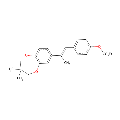 CCOC(=O)Oc1ccc(C=C(C)c2ccc3c(c2)OCC(C)(C)CO3)cc1